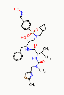 Cc1nc(CN(C)C(=O)N[C@H](C(=O)N[C@@H](Cc2ccccc2)[C@H](O)CN(CC2CCC2)S(=O)(=O)c2ccc(/C=N/O)cc2)C(C)C)cs1